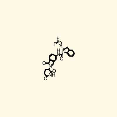 O=C1CCC(N2Cc3cc(NC(=O)N4c5ccccc5C[C@H]4COC(F)F)ccc3C2=O)C(=O)N1